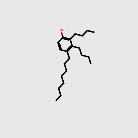 CCCCCCCCc1ccc(O)c(CCCC)c1CCCC